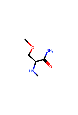 CN[C@@H](COC)C(N)=O